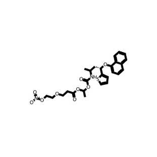 CC(C[C@H](Oc1cccc2ccccc12)c1cccs1)NC(=O)OC(C)OC(=O)CCOCCO[N+](=O)[O-]